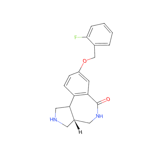 O=C1NC[C@@H]2CNCC2c2ccc(OCc3ccccc3F)cc21